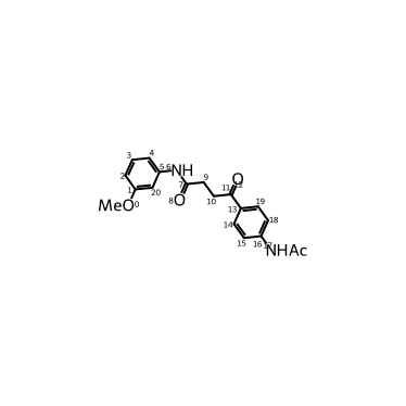 COc1cccc(NC(=O)CCC(=O)c2ccc(NC(C)=O)cc2)c1